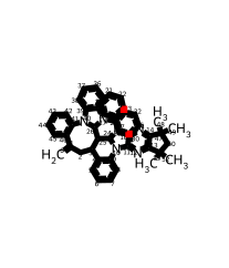 C=C1CC2c3ccccc3N3c4nc5c(nc4N(c4ccccc4)C3C2C2N(c3ccccc3)c3ccccc3N2c2ccccc21)C(C)(C)CC5(C)C